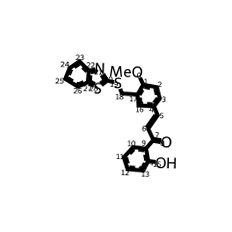 COc1ccc(C=CC(=O)c2ccccc2O)cc1CSc1nc2ccccc2s1